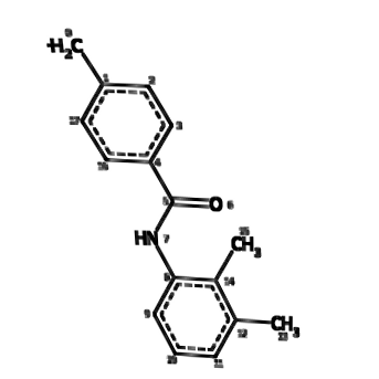 [CH2]c1ccc(C(=O)Nc2cccc(C)c2C)cc1